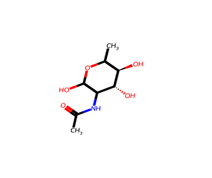 CC(=O)NC1C(O)OC(C)[C@@H](O)[C@@H]1O